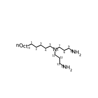 CCCCCCCCCCCCCN(CCCN)CCCN